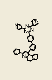 c1ccc(-c2cc(-c3cccc(-c4ccc(-c5nc(-c6ccncc6)nc(-c6ccncc6)n5)cc4)c3)c3c(ccc4ccccc43)n2)cc1